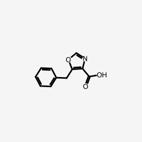 O=C(O)c1ncoc1Cc1ccccc1